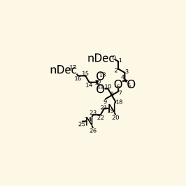 CCCCCCCCCCCCCC(=O)OCC(C)(COC(=O)CCCCCCCCCCCCC)CN(C)CCCN(C)C